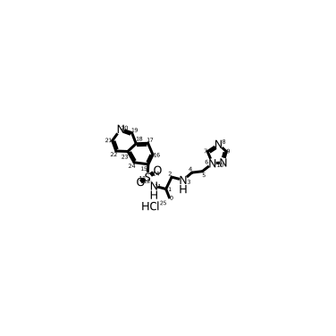 CC(CNCCn1cncn1)NS(=O)(=O)c1ccc2cnccc2c1.Cl